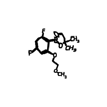 COCCOc1cc(F)cc(F)c1B1OCC(C)(C)O1